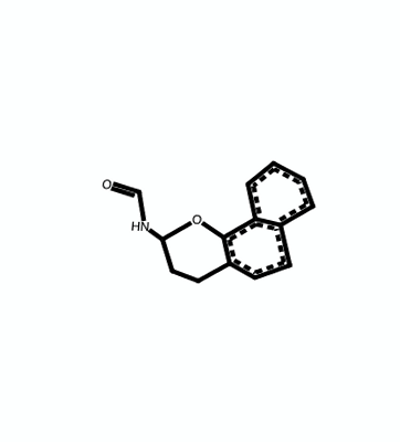 O=CNC1CCc2ccc3ccccc3c2O1